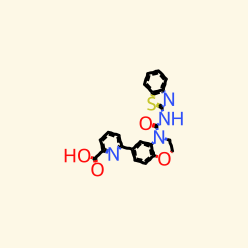 O=C(O)c1cccc(-c2ccc3c(c2)N(C(=O)Nc2nc4ccccc4s2)CCO3)n1